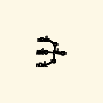 CCCCCCCCCCOP(=O)(OC)OCCCCCCCCCC